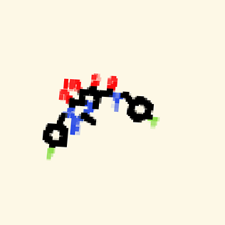 CC1NN(Cc2ccc(F)cc2)C(=O)c2c(O)c(=O)c(C(=O)NCc3ccc(F)cc3)cn21